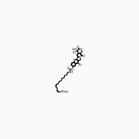 CCCCC/C=C\C/C=C\CCCCCCCCNC(=O)Oc1ccc2nc3c(c(CC)c2c1)Cn1c-3cc2c(c1=O)COC(=O)[C@]2(O)CC